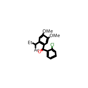 CCC(C(C)=O)c1cc(OC)c(OC)cc1C(=O)c1ccccc1Cl